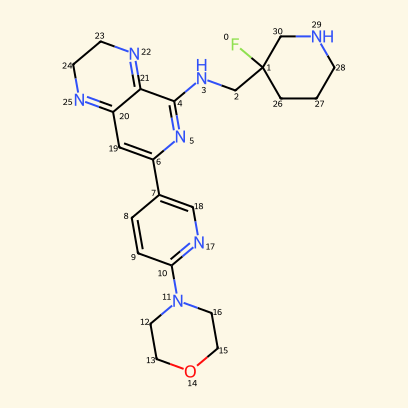 FC1(CNc2nc(-c3ccc(N4CCOCC4)nc3)cc3c2=NCCN=3)CCCNC1